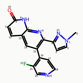 Cn1ccc(-c2nc3[nH]c(=O)ccc3cc2-c2ccncc2F)n1